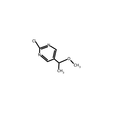 COC(C)c1cnc(Cl)nc1